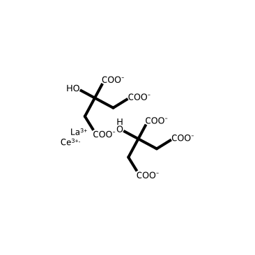 O=C([O-])CC(O)(CC(=O)[O-])C(=O)[O-].O=C([O-])CC(O)(CC(=O)[O-])C(=O)[O-].[Ce+3].[La+3]